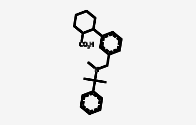 CN(Cc1cccc(C2CCCCC2C(=O)O)c1)C(C)(C)c1ccccc1